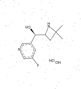 CC1(C)CC([C@H](O)c2cncc(F)c2)N1.Cl.Cl